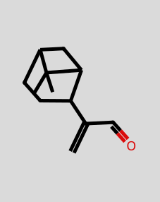 C=C(C=O)C1CCC2CC1C2(C)C